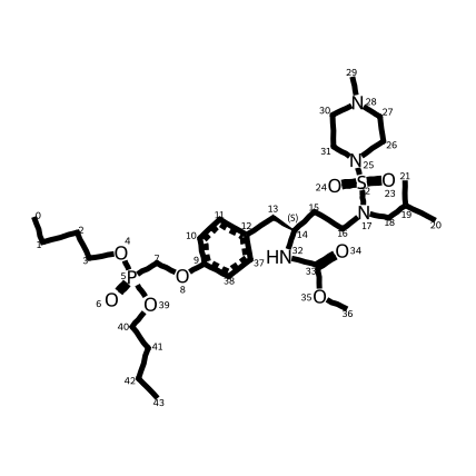 CCCCOP(=O)(COc1ccc(C[C@@H](CCN(CC(C)C)S(=O)(=O)N2CCN(C)CC2)NC(=O)OC)cc1)OCCCC